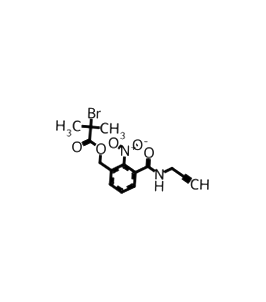 C#CCNC(=O)c1cccc(COC(=O)C(C)(C)Br)c1[N+](=O)[O-]